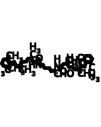 CC1=C(CCC(C)CCCC(C)CC(=O)NCCCC[C@@H](C=O)NC(=O)CC(C)CCCC(C)CCC2=C(C)CCCC2(C)C)C(C)(C)CCC1